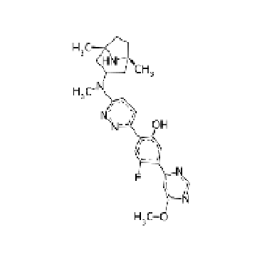 COc1cc(-c2cc(O)c(-c3ccc(N(C)C4C[C@]5(C)CC[C@](C)(C4)N5)nn3)cc2F)ncn1